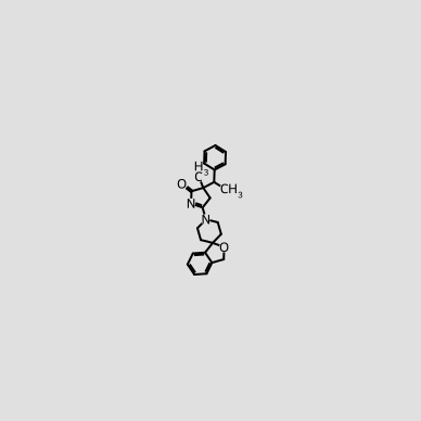 CC(c1ccccc1)C1(C)CC(N2CCC3(CC2)OCc2ccccc23)=NC1=O